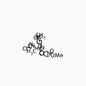 COC(=O)N1CCc2ccc3c(nc(N4CCN(S(C)(=O)=O)CC4)n3[C@H](C)Cn3cc(Cl)cn3)c2C1